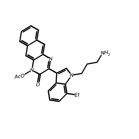 CCc1cccc2c(-c3nc4cc5ccccc5cc4n(OC(C)=O)c3=O)cn(CCCN)c12